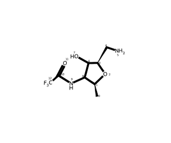 C[C@@H]1O[C@H](CN)C(O)C1NC(=O)C(F)(F)F